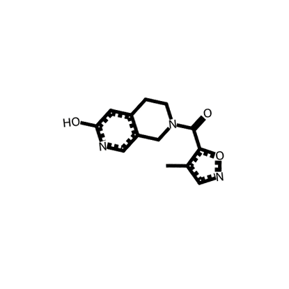 Cc1cnoc1C(=O)N1CCc2cc(O)ncc2C1